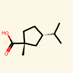 CC(C)[C@H]1CC[C@@](C)(C(=O)O)C1